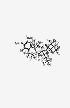 [2H]c1c(OC)c(OC)c([2H])c2c1C([2H])([2H])C([2H])([2H])N1C([2H])([2H])C([2H])(C([2H])([2H])C([2H])(C)C([2H])([2H])[2H])C(OC(=O)[C@@]([2H])(N)C([2H])(C([2H])([2H])[2H])C([2H])([2H])[2H])C([2H])([2H])C21[2H]